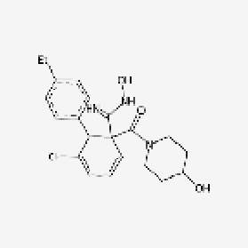 CCc1ccc(C2C(Cl)=CC=CC2(C(=N)NO)C(=O)N2CCC(O)CC2)cc1